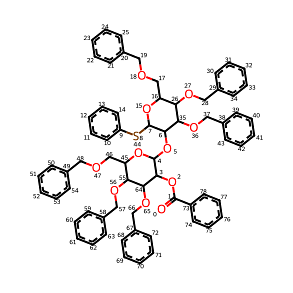 O=C(OC1C(OC2C(Sc3ccccc3)OC(COCc3ccccc3)C(OCc3ccccc3)C2OCc2ccccc2)OC(COCc2ccccc2)C(OCc2ccccc2)C1OCc1ccccc1)c1ccccc1